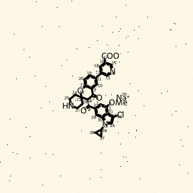 COc1cc(C(=O)[C@@H]2C(=O)c3cc(-c4cncc(C(=O)[O-])c4)ccc3OC23CCNCC3)cc2c1c(Cl)cn2C1CC1.[Na+]